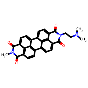 CN(C)CCN1C(=O)c2ccc3c4ccc5c6c(ccc(c7ccc(c2c37)C1=O)c64)C(=O)N(C)C5=O